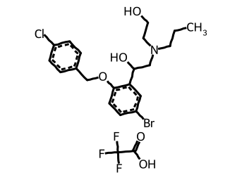 CCCN(CCO)CC(O)c1cc(Br)ccc1OCc1ccc(Cl)cc1.O=C(O)C(F)(F)F